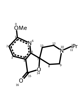 COc1ccc2c(n1)C1(CCN(C(C)C)CC1)OC2=O